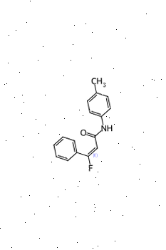 Cc1ccc(NC(=O)/C=C(/F)c2ccccc2)cc1